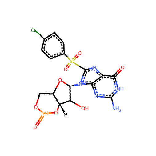 Nc1nc2c(nc(S(=O)(=O)c3ccc(Cl)cc3)n2[C@@H]2OC3CO[PH](=O)O[C@H]3C2O)c(=O)[nH]1